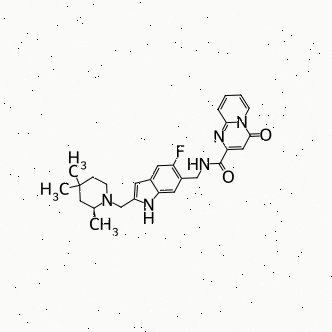 C[C@H]1CC(C)(C)CCN1Cc1cc2cc(F)c(CNC(=O)c3cc(=O)n4ccccc4n3)cc2[nH]1